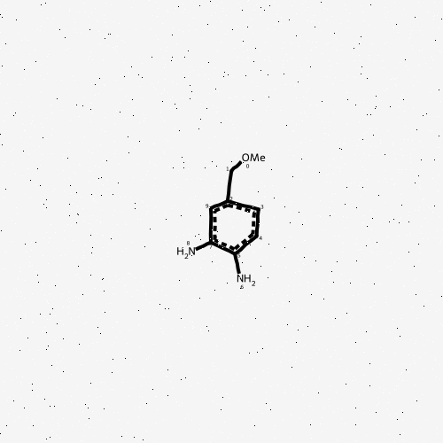 COCc1ccc(N)c(N)c1